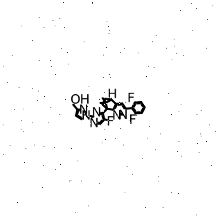 CC1(C)[C@H]2CCC1(c1nc(-n3ccc(CO)n3)ncc1F)c1nnc(-c3c(F)cccc3F)cc12